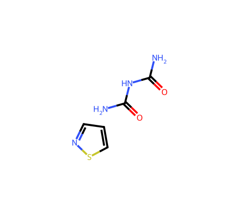 NC(=O)NC(N)=O.c1cnsc1